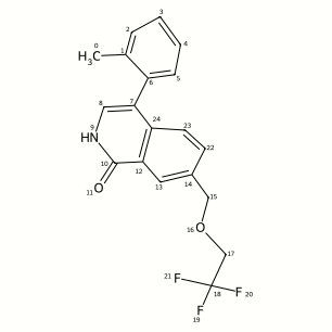 Cc1ccccc1-c1c[nH]c(=O)c2cc(COCC(F)(F)F)ccc12